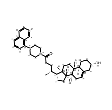 C[C@H](CCC(=O)N1CCN(c2nccc3ccncc23)CC1)[C@H]1CC[C@H]2[C@@H]3CC=C4C[C@@H](O)CC[C@]4(C)[C@H]3CC[C@]12C